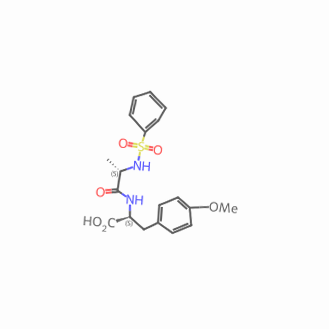 COc1ccc(C[C@H](NC(=O)[C@H](C)NS(=O)(=O)c2ccccc2)C(=O)O)cc1